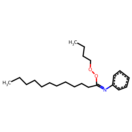 CCCCCCCCCCCC(=Nc1ccccc1)OOCCCC